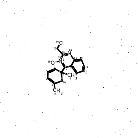 CC1=CC=CC(C)(c2c3ccccc3nc(CCl)[n+]2[O-])C1